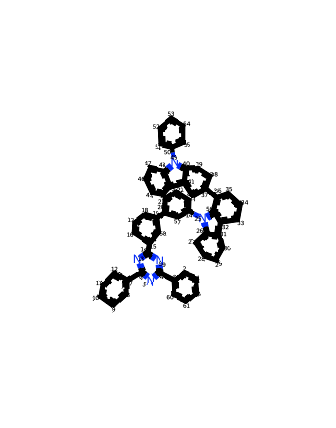 c1ccc(-c2nc(-c3ccccc3)nc(-c3cccc(-c4cccc(-n5c6ccccc6c6cccc(-c7ccc8c(c7)c7ccccc7n8-c7ccccc7)c65)c4)c3)n2)cc1